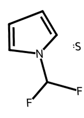 FC(F)n1cccc1.[S]